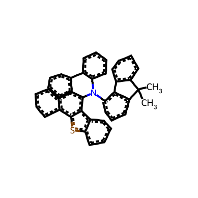 CC1(C)c2ccccc2-c2c(N(c3ccccc3-c3ccccc3)c3cc4ccccc4c4sc5ccccc5c34)cccc21